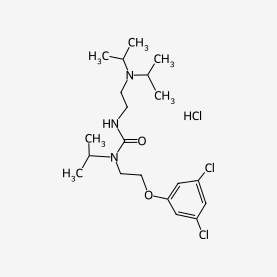 CC(C)N(CCOc1cc(Cl)cc(Cl)c1)C(=O)NCCN(C(C)C)C(C)C.Cl